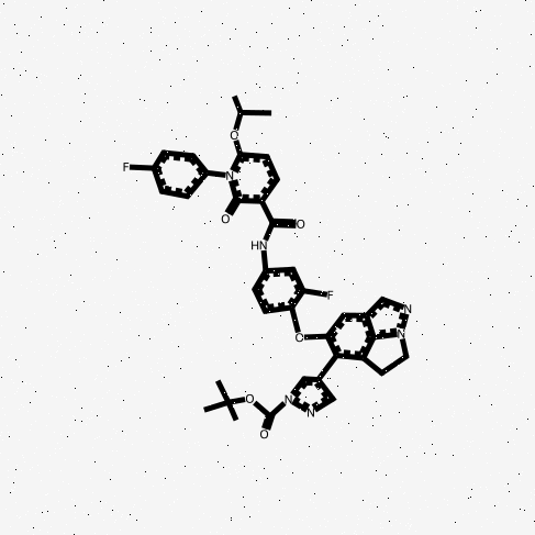 CC(C)Oc1ccc(C(=O)Nc2ccc(Oc3cc4cnn5c4c(c3-c3cnn(C(=O)OC(C)(C)C)c3)CC5)c(F)c2)c(=O)n1-c1ccc(F)cc1